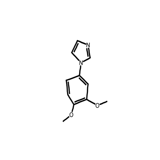 COc1ccc(-n2ccnc2)cc1OC